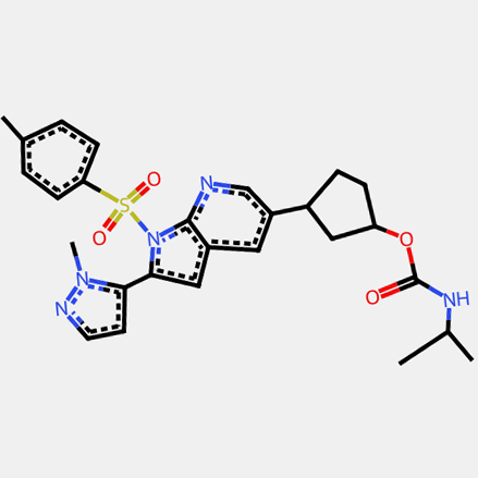 Cc1ccc(S(=O)(=O)n2c(-c3ccnn3C)cc3cc(C4CCC(OC(=O)NC(C)C)C4)cnc32)cc1